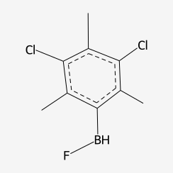 Cc1c(Cl)c(C)c(BF)c(C)c1Cl